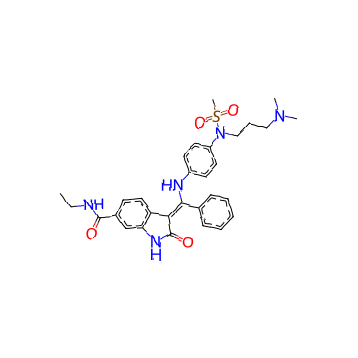 CCNC(=O)c1ccc2c(c1)NC(=O)C2=C(Nc1ccc(N(CCCN(C)C)S(C)(=O)=O)cc1)c1ccccc1